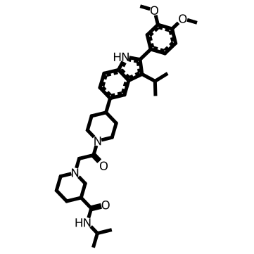 COc1ccc(-c2[nH]c3ccc(C4CCN(C(=O)CN5CCCC(C(=O)NC(C)C)C5)CC4)cc3c2C(C)C)cc1OC